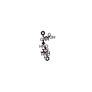 CC[C@H](C)[C@H](NC(=O)[C@H]1CCCCN1C)C(=O)N(C)[C@H](C(=O)NC12CC(C(=O)N[C@@H](Cc3ccccc3)C[C@H](C)C(=O)O)(C1)C2)C(C)C